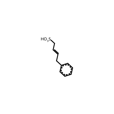 O=S(=O)(O)CC=CCc1ccccc1